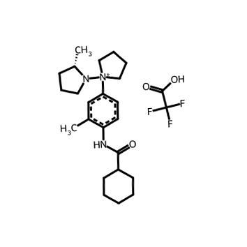 Cc1cc([N+]2(N3CCC[C@@H]3C)CCCC2)ccc1NC(=O)C1CCCCC1.O=C(O)C(F)(F)F